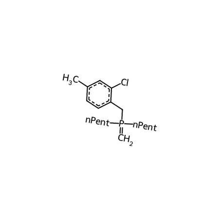 C=P(CCCCC)(CCCCC)Cc1ccc(C)cc1Cl